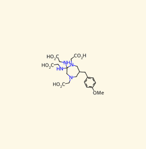 COc1ccc(CC2CN(CC(=O)O)CC(NCC(=O)O)(NCC(=O)O)N(CC(=O)O)C2)cc1